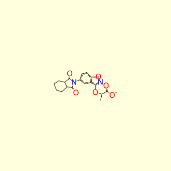 COC(=O)C(C)Oc1noc2ccc(N3C(=O)C4CCCCC4C3=O)cc12